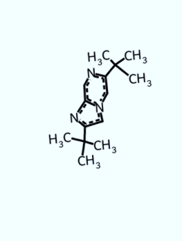 CC(C)(C)c1cn2cc(C(C)(C)C)nc2cn1